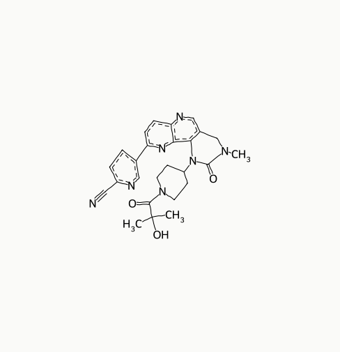 CN1Cc2cnc3ccc(-c4ccc(C#N)nc4)nc3c2N(C2CCN(C(=O)C(C)(C)O)CC2)C1=O